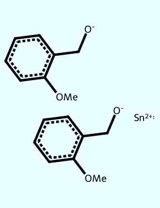 COc1ccccc1C[O-].COc1ccccc1C[O-].[Sn+2]